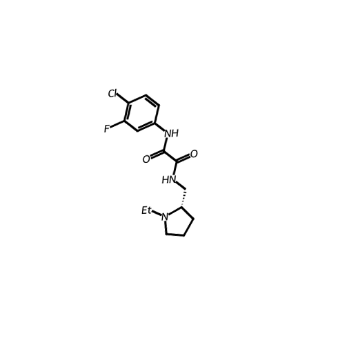 CCN1CCC[C@H]1CNC(=O)C(=O)Nc1ccc(Cl)c(F)c1